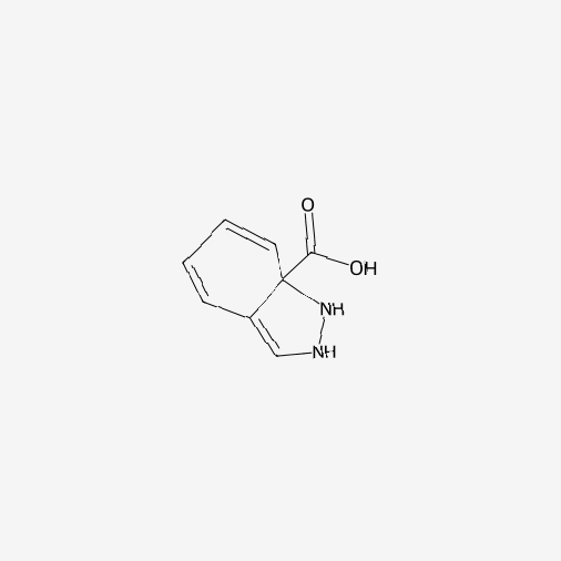 O=C(O)C12C=CC=CC1=CNN2